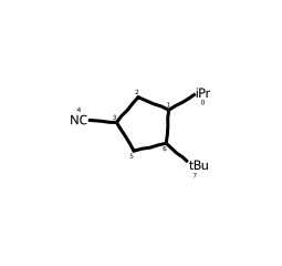 CC(C)C1CC(C#N)CC1C(C)(C)C